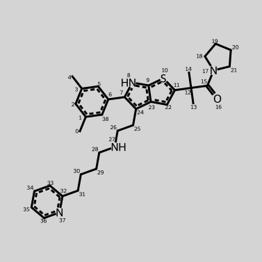 Cc1cc(C)cc(-c2[nH]c3sc(C(C)(C)C(=O)N4CCCC4)cc3c2CCNCCCCc2ccccn2)c1